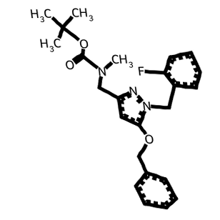 CN(Cc1cc(OCc2ccccc2)n(Cc2ccccc2F)n1)C(=O)OC(C)(C)C